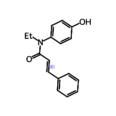 CCN(C(=O)/C=C/c1ccccc1)c1ccc(O)cc1